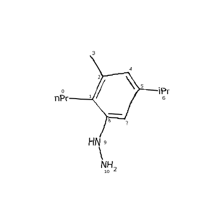 CCCc1c(C)cc(C(C)C)cc1NN